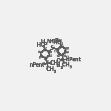 CCCCCC(C)(C)c1ccc(O)c(Sc2cc(C(C)(C)CCCCC)ccc2O)c1.CCCCN